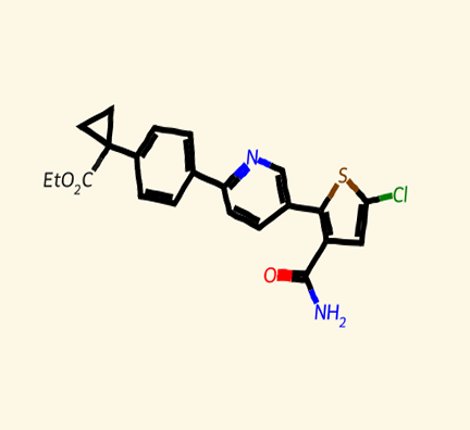 CCOC(=O)C1(c2ccc(-c3ccc(-c4sc(Cl)cc4C(N)=O)cn3)cc2)CC1